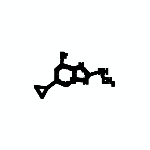 CNc1nc2c(Br)cc(C3CC3)cn2n1